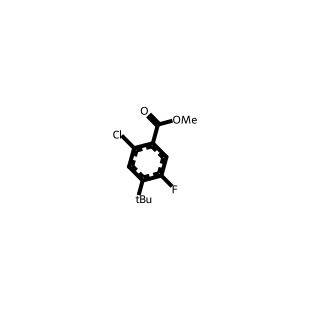 COC(=O)c1cc(F)c(C(C)(C)C)cc1Cl